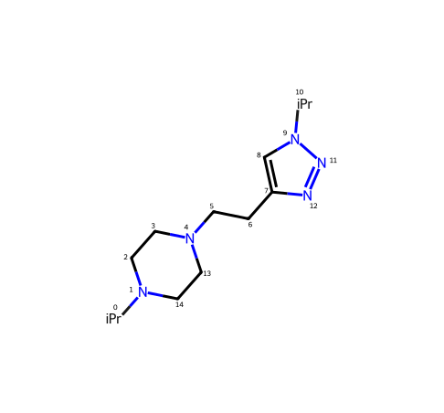 CC(C)N1CCN(CCc2cn(C(C)C)nn2)CC1